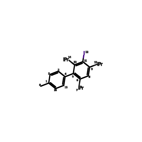 Cc1ccc(-c2c(C(C)C)cc(C(C)C)c(I)c2C(C)C)cc1